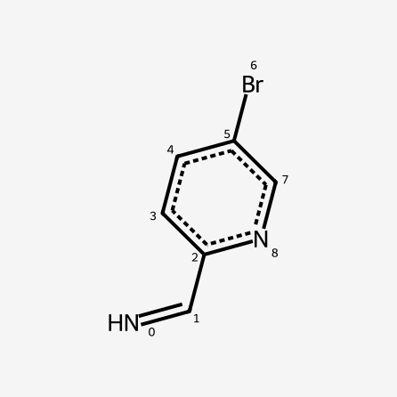 N=Cc1ccc(Br)cn1